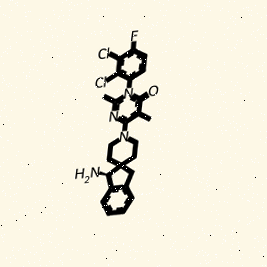 Cc1c(N2CCC3(CC2)Cc2ccccc2[C@H]3N)nc(C)n(-c2ccc(F)c(Cl)c2Cl)c1=O